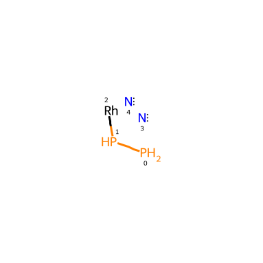 P[PH][Rh].[N].[N]